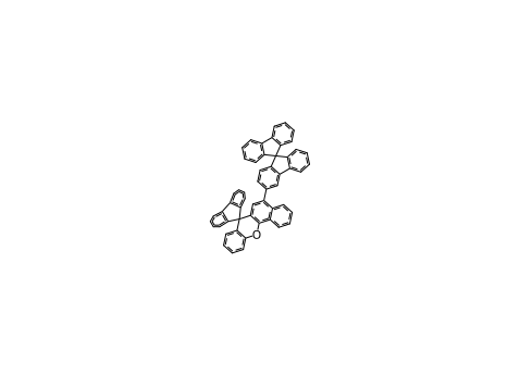 c1ccc2c(c1)Oc1c(cc(-c3ccc4c(c3)-c3ccccc3C43c4ccccc4-c4ccccc43)c3ccccc13)C21c2ccccc2-c2ccccc21